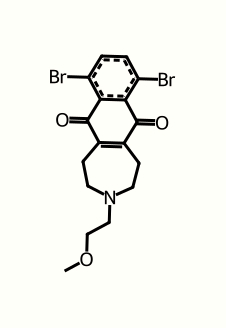 COCCN1CCC2=C(CC1)C(=O)c1c(Br)ccc(Br)c1C2=O